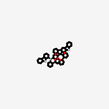 c1ccc(-c2ccccc2N(c2ccc3c(c2)-c2ccccc2-c2ccccc2C32c3ccccc3-c3cc4c(cc32)oc2ccccc24)c2cccc3c2oc2ccccc23)cc1